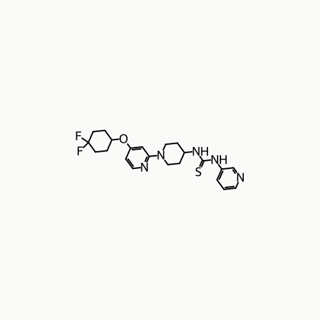 FC1(F)CCC(Oc2ccnc(N3CCC(NC(=S)Nc4cccnc4)CC3)c2)CC1